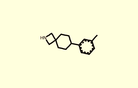 Cc1cccc(C2CCC3(CC2)CNC3)c1